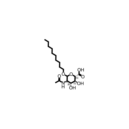 CCCCCCCCCCOC1O[C@H](C(=O)O)[C@@H](O)[C@H](O)[C@H]1NC(C)=O